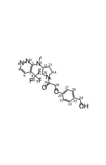 CN(c1nnccc1C(F)(F)F)C1CCN(C(=O)COc2ccc(CO)cc2)C1